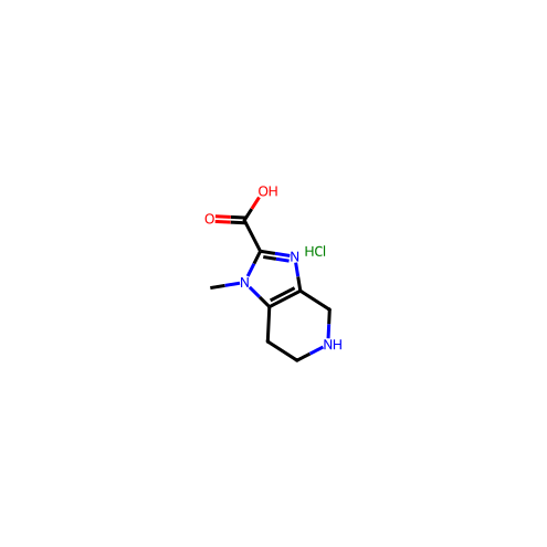 Cl.Cn1c(C(=O)O)nc2c1CCNC2